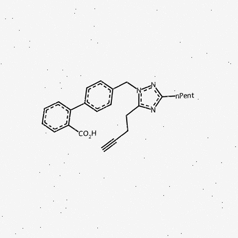 C#CCCc1nc(CCCCC)nn1Cc1ccc(-c2ccccc2C(=O)O)cc1